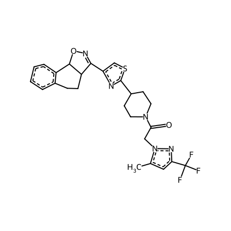 Cc1cc(C(F)(F)F)nn1CC(=O)N1CCC(c2nc(C3=NOC4c5ccccc5CCC34)cs2)CC1